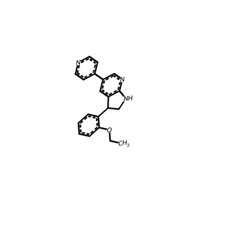 CCOc1ccccc1C1CNc2ncc(-c3ccncc3)cc21